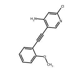 COc1ccccc1C#Cc1cnc(Cl)cc1N